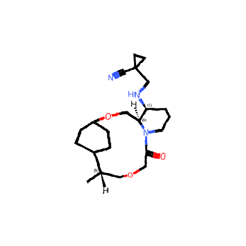 C[C@H]1COCC(=O)N2CCC[C@H](NCC3(C#N)CC3)[C@@H]2COC2CCC1CC2